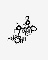 O=C(O)N[C@H](C(=O)Nc1cc(F)cc(F)c1CC[C@H]1CN[C@@H]2CCCS(O)(O)N1C2)[C@@H](c1ccc(Cl)cc1)C1CCOCC1